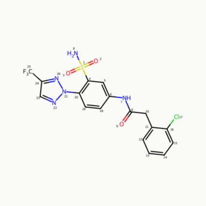 NS(=O)(=O)c1cc(NC(=O)Cc2ccccc2Cl)ccc1-n1ncc(C(F)(F)F)n1